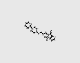 O=C1c2sccc2S(=O)(=O)N1CCCCN1CCN(c2ncccn2)CC1